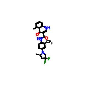 Cc1cccc2[nH]cc(C(=O)Nc3ccc(N4CC(F)(F)C[C@H]4C)cc3C(F)(F)F)c(=O)c12